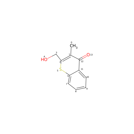 Cc1c(CO)sc2ccccc2c1=O